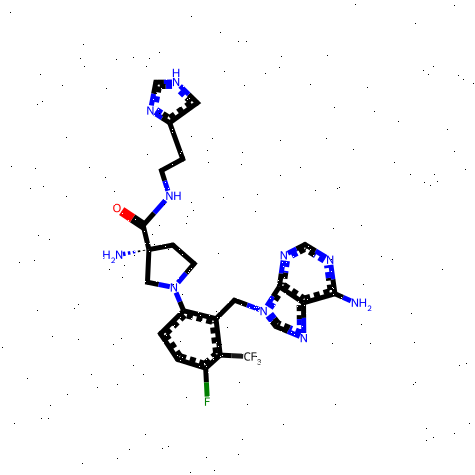 Nc1ncnc2c1ncn2Cc1c(N2CC[C@](N)(C(=O)NCCc3c[nH]cn3)C2)ccc(F)c1C(F)(F)F